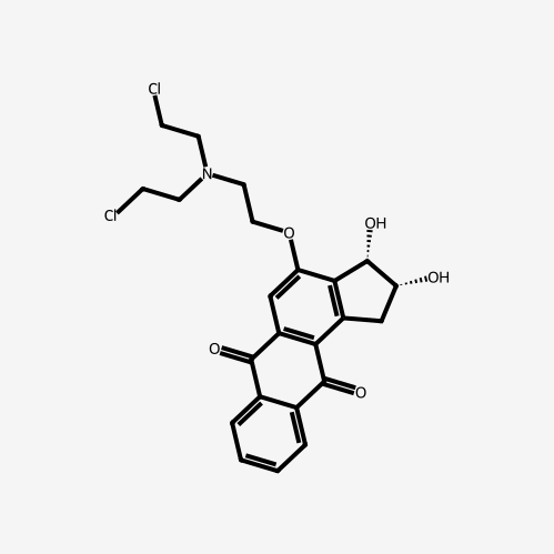 O=C1c2ccccc2C(=O)c2c1cc(OCCN(CCCl)CCCl)c1c2C[C@@H](O)[C@H]1O